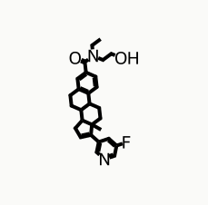 CCN(CCO)C(=O)c1ccc2c(c1)CCC1C2CCC2(C)C(c3cncc(F)c3)=CCC12